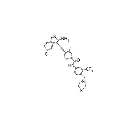 Cc1cc(C(=O)Nc2ccc(CN3CCN(C)CC3)c(C(F)(F)F)c2)ccc1C#Cc1c(N)ncc2ccc(Cl)cc12